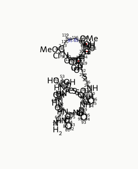 COc1cc2cc(c1Cl)N(C)C(=O)[C@H](OC(O)[C@H](C)N(C)C(=O)CCSCCCN[C@H](Cc1ccccc1)C(=O)N[C@H]1CSSC[C@@H](C(=O)N[C@H](CO)[C@@H](C)O)NC(=O)[C@H]([C@@H](C)O)NC(=O)[C@H](CCCCN)NC(=O)[C@@H](Cc3c[nH]c4ccccc34)NC(=O)[C@H](Cc3ccccc3)NC1=O)[C@]1(C)O[C@H]1[C@H](C)[C@@H]1C[C@@](O)(NC(=O)O1)[C@H](OC)/C=C/C=C(\C)C2